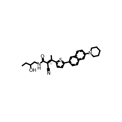 CCC(O)CNC(=O)/C(C#N)=C(\C)c1ccc(-c2ccc3cc(N4CCCCC4)ccc3c2)s1